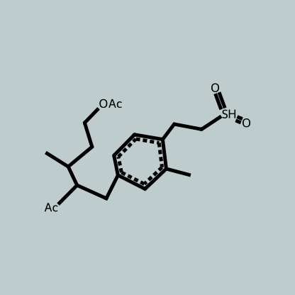 CC(=O)OCCC(C)C(Cc1ccc(CC[SH](=O)=O)c(C)c1)C(C)=O